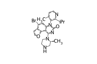 Cc1ccnc(C(C)C)c1-n1c(=O)nc(N2CCNC[C@@H]2C)c2c3occc3c(Br)cc21